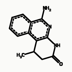 CC1CC(=O)Nc2nc(N)c3ccccc3c21